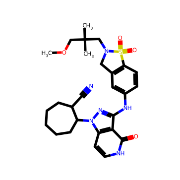 COCC(C)(C)CN1Cc2cc(Nc3nn(C4CCCCCC4C#N)c4cc[nH]c(=O)c34)ccc2S1(=O)=O